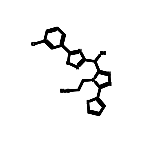 COCCn1c(-c2cccs2)nnc1C(S)c1noc(-c2cccc(Cl)c2)n1